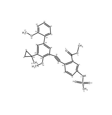 COC(=O)c1cc(NS(C)(=O)=O)ccc1C#Cc1cc(-c2cccnc2OC)cc(C2(C)CC2)c1OC